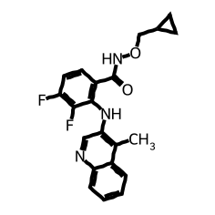 Cc1c(Nc2c(C(=O)NOCC3CC3)ccc(F)c2F)cnc2ccccc12